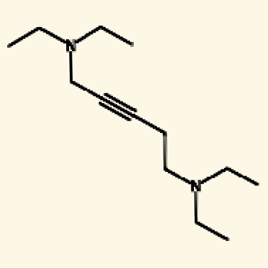 CCN(CC)CC#CCCN(CC)CC